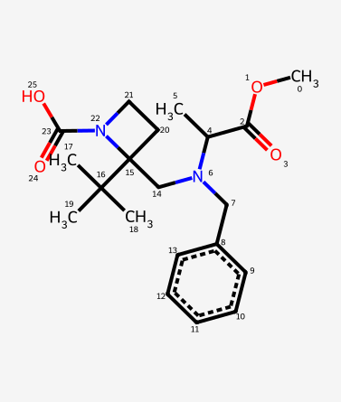 COC(=O)C(C)N(Cc1ccccc1)CC1(C(C)(C)C)CCN1C(=O)O